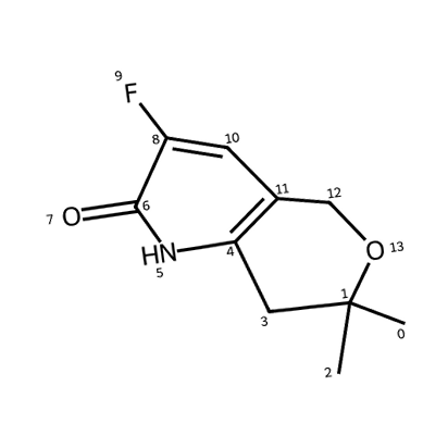 CC1(C)Cc2[nH]c(=O)c(F)cc2CO1